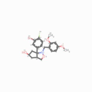 COc1ccc(CN2OCC3CC(O)CC32c2ccc(F)c(Br)c2)c(OC)c1